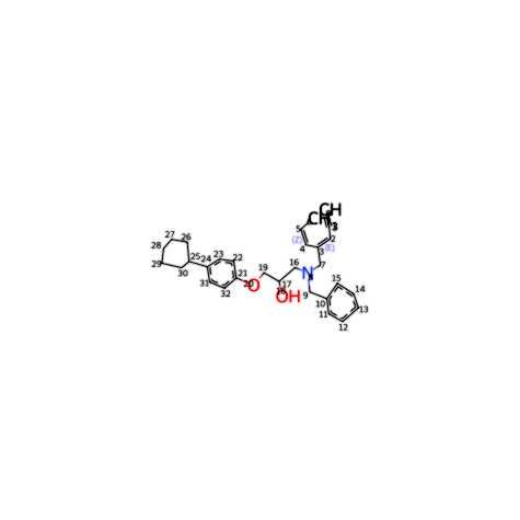 C#C/C=C(\C=C/C)CN(Cc1ccccc1)CC(O)COc1ccc(C2CCCCC2)cc1